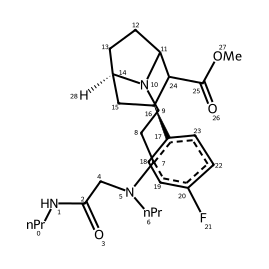 CCCNC(=O)CN(CCC)CCCN1C2CC[C@@H]1C[C@H](c1ccc(F)cc1)C2C(=O)OC